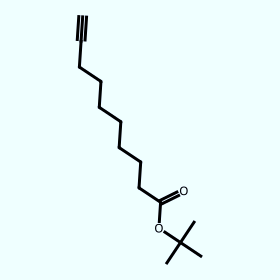 C#CCCCCCCCC(=O)OC(C)(C)C